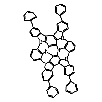 c1ccc(-c2ccc3c(c2)-c2c4c5c6c7c2-c2cc(-c8ccccc8)ccc2B7c2cccc7c2N6c2c6c(c8c9c2N5c2c(cccc2B9c2ccc(-c5ccccc5)cc2-8)B34)-c2cc(-c3ccccc3)ccc2B76)cc1